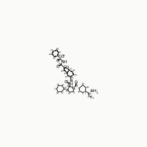 N[C@H](CF)[C@H]1CC[C@H](C(=O)N2CC[C@@H](C3CCCCC3)[C@H]2C(=O)Nc2ccc3oc(C(=O)NS(=O)(=O)c4ccccc4)cc3c2)CC1